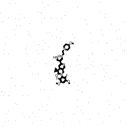 COc1cc(OC)c(F)c(N2Cc3cnc(/C(C=N)=C/NCCN4CCC(OC)CC4)cc3C3(CC3)C2=O)c1F